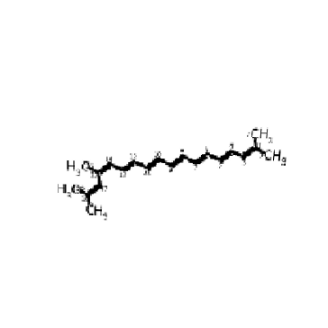 CC(C)=CC=CC=CC=CC=CC=CC=C(C)C=C(C)C